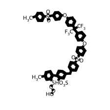 Cc1ccc(S(=O)(=O)c2ccc(Oc3ccc(C(c4ccc(Oc5ccc(S(=O)(=O)c6ccc(Cc7ccc(-c8ccc(C)cc8SOOO)c(S(=O)(=O)O)c7)cc6)cc5)cc4)(C(F)(F)F)C(F)(F)F)cc3)cc2)cc1